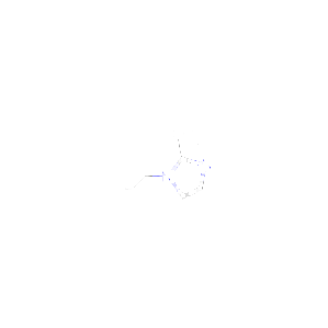 CC(C)Cn1ccnc1C(=O)O